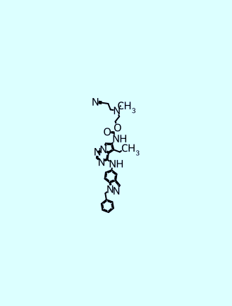 CCc1c(NC(=O)OCCN(C)CCC#N)cn2ncnc(Nc3ccc4c(cnn4Cc4ccccc4)c3)c12